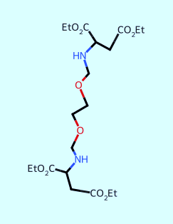 CCOC(=O)CC(NCOCCOCNC(CC(=O)OCC)C(=O)OCC)C(=O)OCC